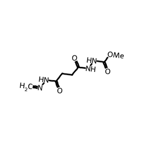 C=NNC(=O)CCC(=O)NNC(=O)OC